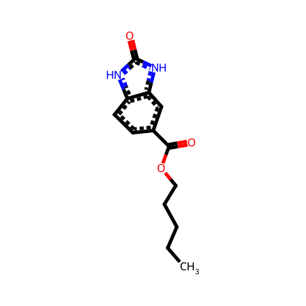 CCCCCOC(=O)c1ccc2[nH]c(=O)[nH]c2c1